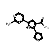 CC(=O)c1cc(-c2ccnc(N)n2)[nH]c1-c1ccsc1